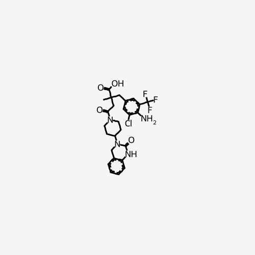 CC(CC(=O)N1CCC(N2Cc3ccccc3NC2=O)CC1)(Cc1cc(Cl)c(N)c(C(F)(F)F)c1)C(=O)O